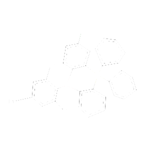 CC(C)c1cc(C(C)C)c(B2c3ccccc3S(c3ccccc3)(c3ccccc3)c3cc(Cl)ccc32)c(C(C)C)c1